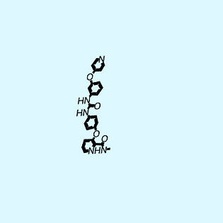 CNC(=O)c1ncccc1Oc1ccc(NC(=O)Nc2cccc(Oc3ccncc3)c2)cc1